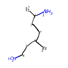 CCC(N)CCC(CC)CCN